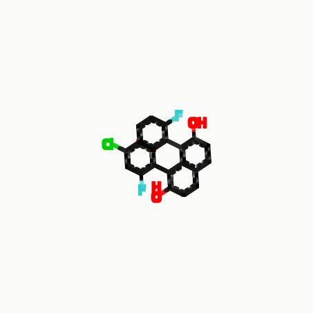 Oc1ccc2ccc(O)c(-c3ccc(Cl)cc3F)c2c1-c1ccccc1F